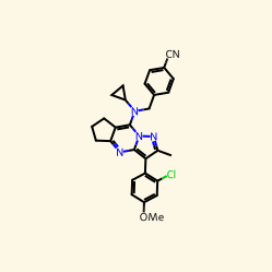 COc1ccc(-c2c(C)nn3c(N(Cc4ccc(C#N)cc4)C4CC4)c4c(nc23)CCC4)c(Cl)c1